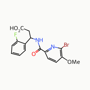 COc1ccc(C(=O)NC(CC(=O)O)c2ccccc2F)nc1Br